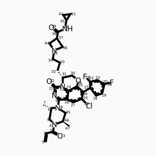 C=CC(=O)N1C[C@H](C)N(c2nc(=O)n3c4c(c(-c5ccc(F)cc5F)c(Cl)cc24)OC[C@H]3CCCN2CC(C(=O)NC3CC3)C2)C[C@H]1C